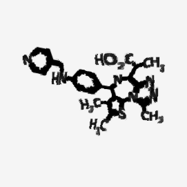 Cc1sc2c(c1C)C(c1ccc(NCc3ccncc3)cc1)=NC([C@H](C)C(=O)O)c1nnc(C)n1-2